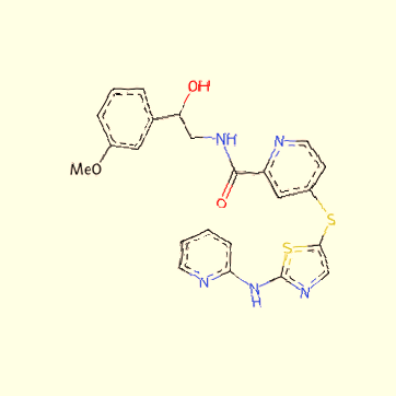 COc1cccc(C(O)CNC(=O)c2cc(Sc3cnc(Nc4ccccn4)s3)ccn2)c1